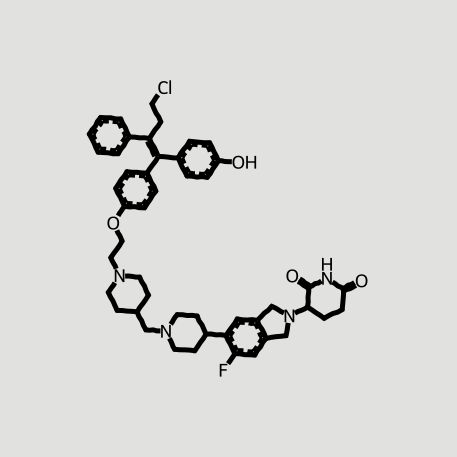 O=C1CCC(N2Cc3cc(F)c(C4CCN(CC5CCN(CCOc6ccc(C(=C(CCCl)c7ccccc7)c7ccc(O)cc7)cc6)CC5)CC4)cc3C2)C(=O)N1